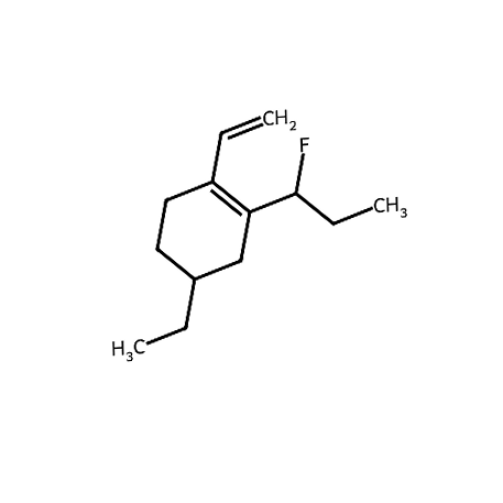 C=CC1=C(C(F)CC)CC(CC)CC1